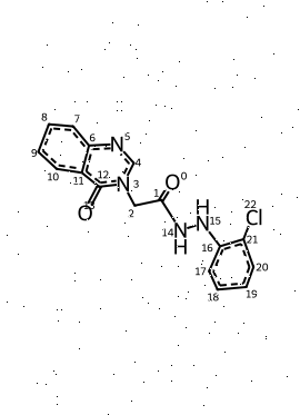 O=C(Cn1cnc2ccccc2c1=O)NNc1ccccc1Cl